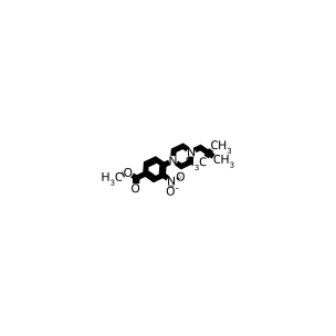 COC(=O)c1ccc(N2CCN(CC(C)(C)C)CC2)c([N+](=O)[O-])c1